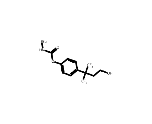 CC(C)(C)NC(=O)Oc1ccc(C(CCO)(C(F)(F)F)C(F)(F)F)cc1